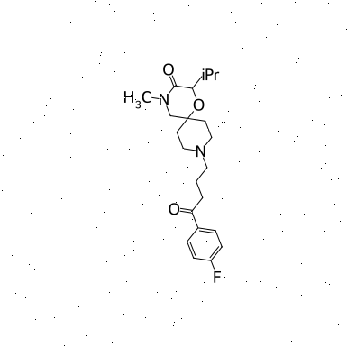 CC(C)C1OC2(CCN(CCCC(=O)c3ccc(F)cc3)CC2)CN(C)C1=O